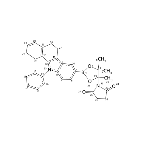 CC1(C)OB(c2ccc3c(c2)c2c(n3-c3ccccc3)C3=C(C=CCC3)CC2)OC1(C)N1C(=O)CCC1=O